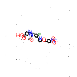 O=C(O)c1ccc2nc(Cc3ccc(-c4cccc(OCc5ccc([N+](=O)[O-])cc5)n4)c(F)c3)n(C[C@@H]3CCO3)c2c1